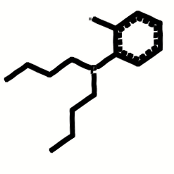 [CH2]c1ccccc1P(CCCC)CCCC